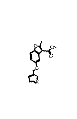 Cc1oc2ccc(OCc3cccnc3)cc2c1C(=O)O